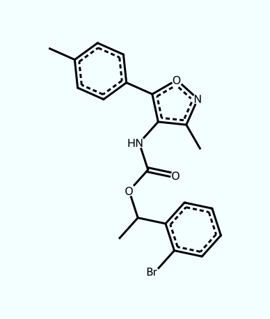 Cc1ccc(-c2onc(C)c2NC(=O)OC(C)c2ccccc2Br)cc1